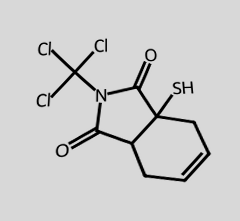 O=C1C2CC=CCC2(S)C(=O)N1C(Cl)(Cl)Cl